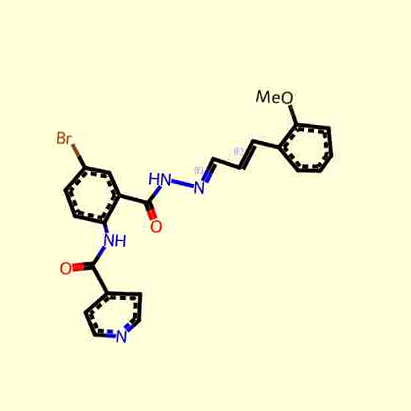 COc1ccccc1/C=C/C=N/NC(=O)c1cc(Br)ccc1NC(=O)c1ccncc1